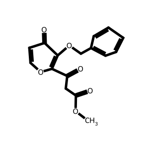 COC(=O)CC(=O)c1occc(=O)c1OCc1ccccc1